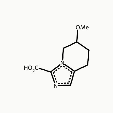 COC1CCc2cnc(C(=O)O)n2C1